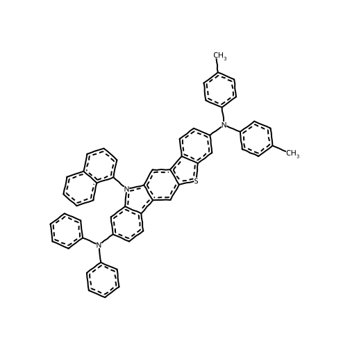 Cc1ccc(N(c2ccc(C)cc2)c2ccc3c(c2)sc2cc4c5ccc(N(c6ccccc6)c6ccccc6)cc5n(-c5cccc6ccccc56)c4cc23)cc1